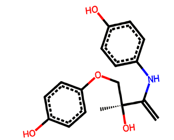 C=C(Nc1ccc(O)cc1)[C@@](C)(O)COc1ccc(O)cc1